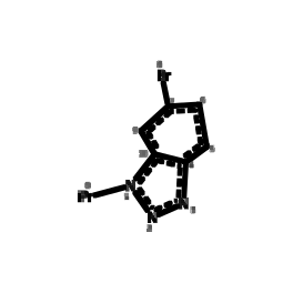 CC(C)n1nnc2ccc(Br)cc21